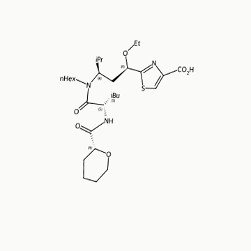 CCCCCCN(C(=O)[C@@H](NC(=O)[C@H]1CCCCO1)[C@@H](C)CC)[C@H](C[C@@H](OCC)c1nc(C(=O)O)cs1)C(C)C